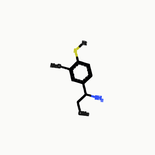 CCSc1ccc(C(N)COC)cc1OC